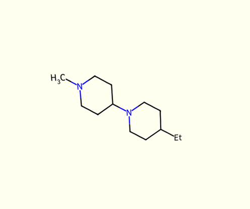 CCC1CCN(C2CCN(C)CC2)CC1